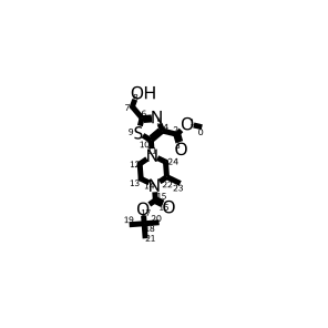 COC(=O)c1nc(CO)sc1N1CCN(C(=O)OC(C)(C)C)C(C)C1